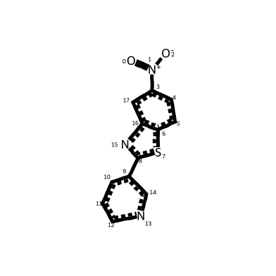 O=[N+]([O-])c1ccc2sc(-c3cccnc3)nc2c1